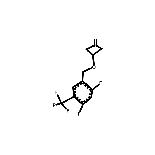 Fc1cc(F)c(C(F)(F)F)cc1COC1CNC1